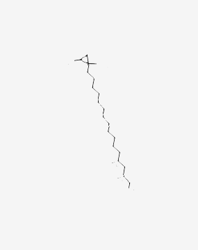 CC(=O)OC[C@@H](O)C[C@@H](O)CCCCCCCCCCCCC1(C)CC1C